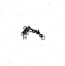 O=C1CCC(N2Cc3c(OCc4cccc(CN5CCC(c6ccc(Cl)cc6)CC5)c4)cccc3C2=O)C(=O)N1